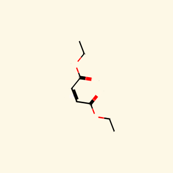 CCOC(=O)/C=C\C(=O)OCC.S